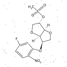 CS(=O)(=O)O[C@H]1CO[C@H]2[C@@H]1OC[C@H]2Oc1cc(F)ccc1[N+](=O)[O-]